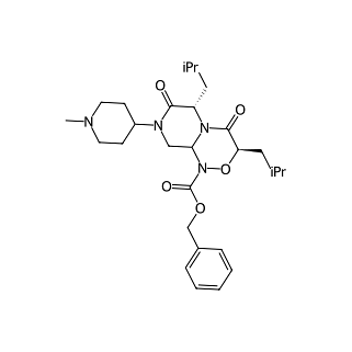 CC(C)C[C@H]1ON(C(=O)OCc2ccccc2)C2CN(C3CCN(C)CC3)C(=O)[C@H](CC(C)C)N2C1=O